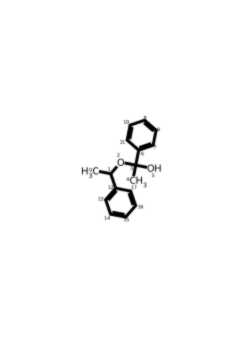 CC(OC(C)(O)c1ccccc1)c1ccccc1